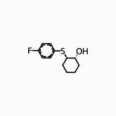 O[C@@H]1CCCC[C@H]1Sc1ccc(F)cc1